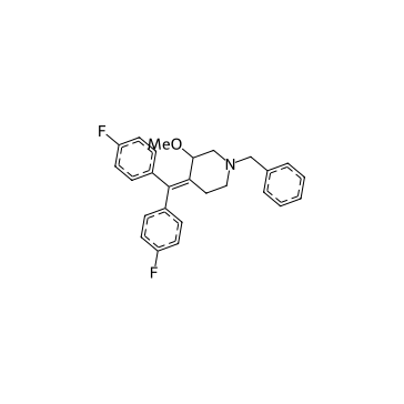 COC1CN(Cc2ccccc2)CCC1=C(c1ccc(F)cc1)c1ccc(F)cc1